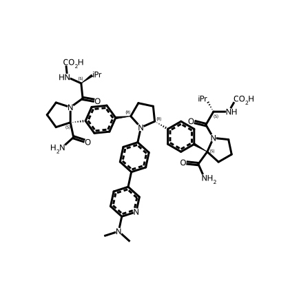 CC(C)[C@H](NC(=O)O)C(=O)N1CCC[C@@]1(C(N)=O)c1ccc([C@H]2CC[C@H](c3ccc([C@]4(C(N)=O)CCCN4C(=O)[C@@H](NC(=O)O)C(C)C)cc3)N2c2ccc(-c3ccc(N(C)C)nc3)cc2)cc1